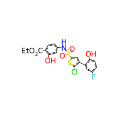 CCOC(=O)c1ccc(NS(=O)(=O)c2cc(-c3cc(F)ccc3O)c(Cl)s2)cc1O